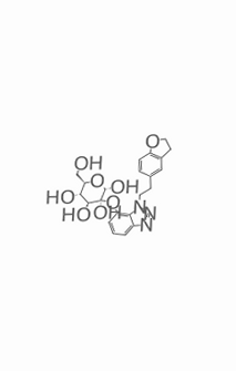 OC[C@H]1O[C@H](O)[C@@](O)(Oc2cccc3nnn(CCc4ccc5c(c4)CCO5)c23)[C@@H](O)[C@@H]1O